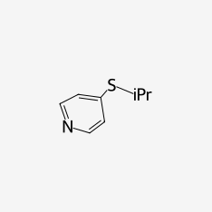 CC(C)Sc1ccncc1